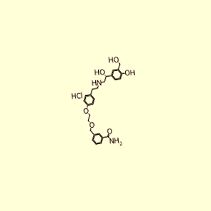 Cl.NC(=O)c1cccc(COCCOc2ccc(CCNC[C@H](O)c3ccc(O)c(CO)c3)cc2)c1